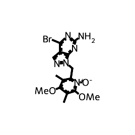 COc1c(C)c(Cn2ncc3c(Br)nc(N)nc32)[n+]([O-])c(OC)c1C